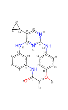 C=CC(=O)Nc1cccc(Nc2nc(Nc3ccc(OC)cc3)ncc2C2CC2)c1